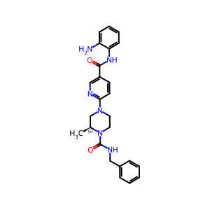 C[C@H]1CN(c2ccc(C(=O)Nc3ccccc3N)cn2)CCN1C(=O)NCc1ccccc1